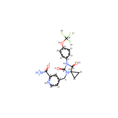 NC(=O)c1cc(CN2C(=O)N(c3ccc(OC(F)(F)F)cc3)C(=O)C23CC3)ccn1